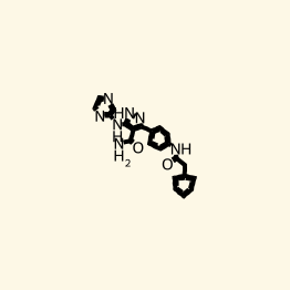 NC(=O)c1c(-c2ccc(NC(=O)Cc3ccccc3)cc2)n[nH]c1Nc1cnccn1